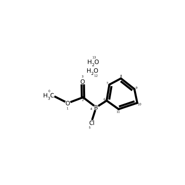 COC(=O)B(Cl)c1ccccc1.O.O